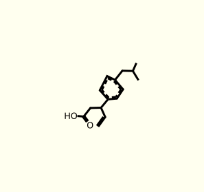 C=CC(CC(=O)O)c1ccc(CC(C)C)cc1